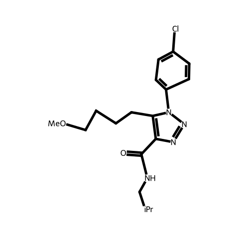 COCCCCc1c(C(=O)NCC(C)C)nnn1-c1ccc(Cl)cc1